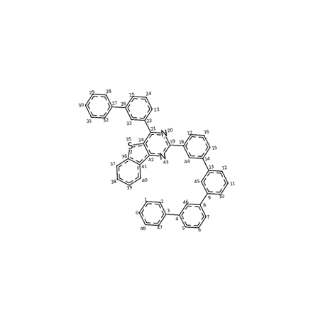 c1ccc(-c2cccc(-c3cccc(-c4cccc(-c5nc(-c6cccc(-c7ccccc7)c6)c6sc7ccccc7c6n5)c4)c3)c2)cc1